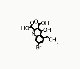 CCc1cc(Br)cc2nc(C(=O)O)c(C(=O)O)c(O)c12